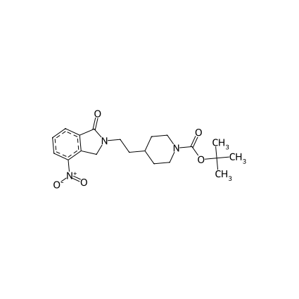 CC(C)(C)OC(=O)N1CCC(CCN2Cc3c(cccc3[N+](=O)[O-])C2=O)CC1